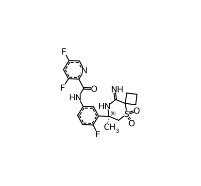 C[C@@]1(c2cc(NC(=O)c3ncc(F)cc3F)ccc2F)CS(=O)(=O)C2(CCC2)C(=N)N1